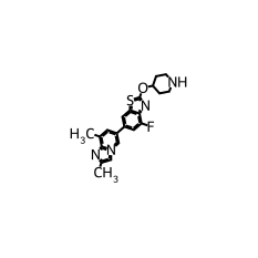 Cc1cn2cc(-c3cc(F)c4nc(OC5CCNCC5)sc4c3)cc(C)c2n1